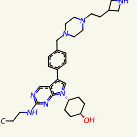 O[C@H]1CC[C@H](n2cc(-c3ccc(CN4CCN(CCC5CNC5)CC4)cc3)c3cnc(NCCC(F)(F)F)nc32)CC1